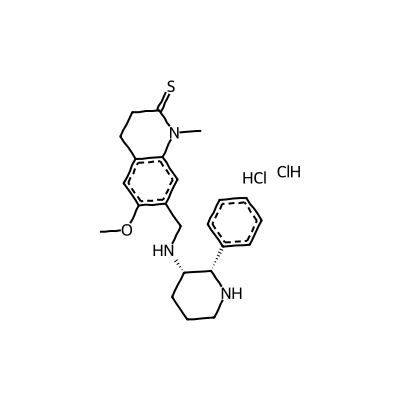 COc1cc2c(cc1CN[C@H]1CCCN[C@H]1c1ccccc1)N(C)C(=S)CC2.Cl.Cl